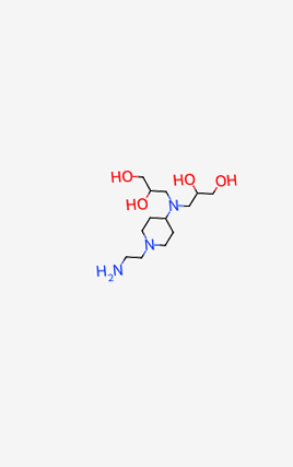 NCCN1CCC(N(CC(O)CO)CC(O)CO)CC1